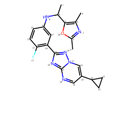 Cc1nc(C)c(C(C)Nc2ccc(F)c(-c3nc4ncc(C5CC5)cn4n3)c2)o1